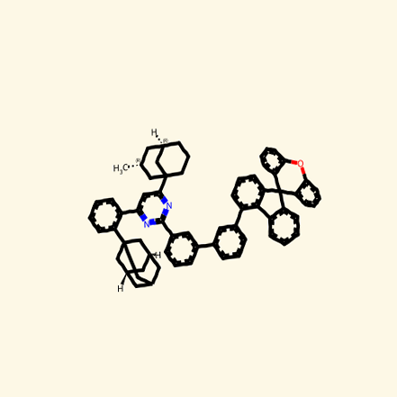 C[C@@H]1C[C@H]2CCCC(c3cc(-c4ccccc4C45CC6C[C@H](C4)C[C@H](C6)C5)nc(-c4cccc(-c5cccc(-c6cccc7c6-c6ccccc6C76c7ccccc7Oc7ccccc76)c5)c4)n3)(C1)C2